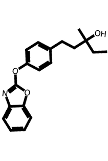 CCC(C)(O)CCc1ccc(Oc2nc3ccccc3o2)cc1